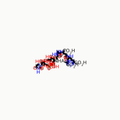 CC(=O)NC1C(OP(=O)(O)OP(=O)(O)OC[C@H]2O[C@@H](n3ccc(=O)[nH]c3=O)[C@@H](O)C2O)OC(CO)C(O)C1OC(C)C(=O)NC(C)C(=O)NC(CCC(=O)NC(CCCC(N)C(=O)O)C(=O)NC(C)C(=O)O)C(=O)O